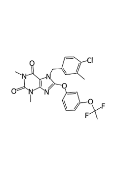 Cc1cc(Cn2c(Oc3cccc(OC(C)(F)F)c3)nc3c2c(=O)n(C)c(=O)n3C)ccc1Cl